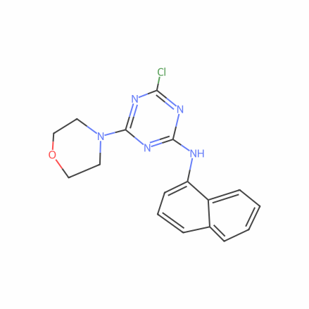 Clc1nc(Nc2cccc3ccccc23)nc(N2CCOCC2)n1